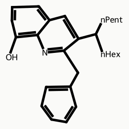 CCCCCCC(CCCCC)c1cc2cccc(O)c2nc1Cc1ccccc1